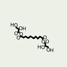 O=C(CCCCCCCCC(=O)OC(=O)C(O)CO)OC(=O)C(O)CO